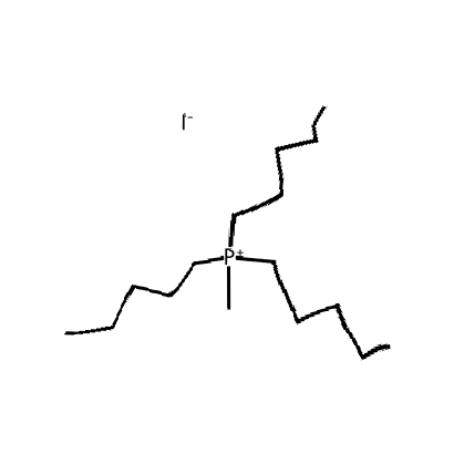 CCCCC[P+](C)(CCCCC)CCCCC.[I-]